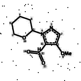 COc1cnn(C2CCCCO2)c1[SH](=O)=O